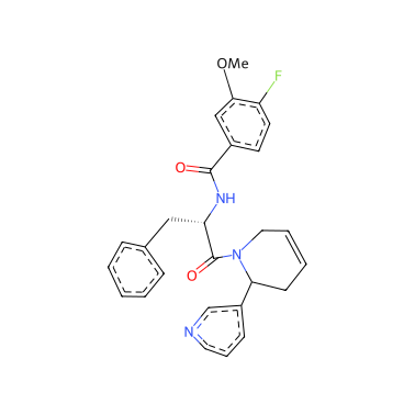 COc1cc(C(=O)N[C@@H](Cc2ccccc2)C(=O)N2CC=CCC2c2cccnc2)ccc1F